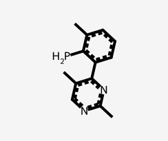 Cc1ncc(C)c(-c2cccc(C)c2P)n1